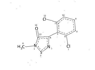 Cn1snc(-c2c(Cl)cccc2Cl)c1=O